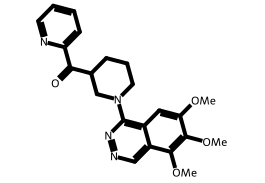 COc1cc2c(N3CCCC(C(=O)c4ccccn4)C3)nncc2c(OC)c1OC